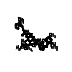 Cc1cc(C)c(Cc2ccc(C(=O)NN(Cc3ccc(C(=O)NCCC(=O)O)cc3)C3CCC(C(C)(C)C)CC3)o2)c(C)c1